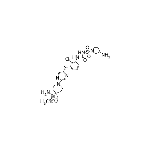 C[C@@H]1OCC2(CCN(c3cnc(Sc4cccc(NC(=O)NS(=O)(=O)N5CCC(N)C5)c4Cl)cn3)CC2)[C@@H]1N